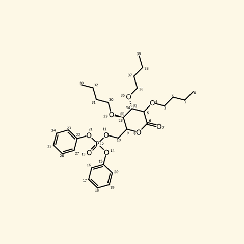 CCCCOC1C(=O)OC(COP(=O)(Oc2ccccc2)Oc2ccccc2)[C@@H](OCCCC)[C@@H]1OCCCC